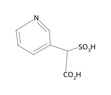 O=C(O)C(c1cccnc1)S(=O)(=O)O